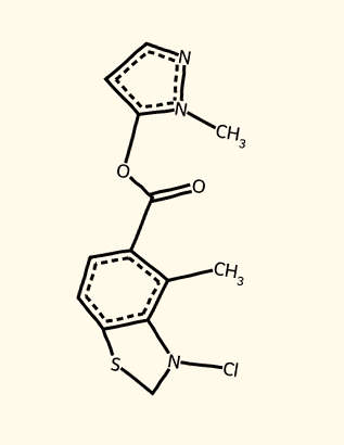 Cc1c(C(=O)Oc2ccnn2C)ccc2c1N(Cl)CS2